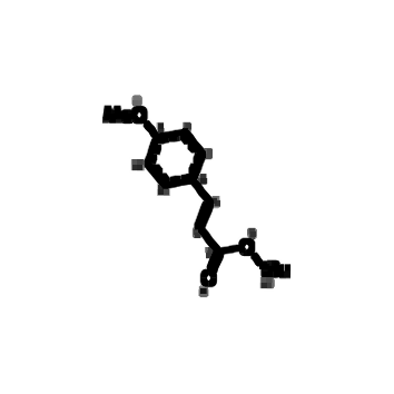 COc1ccc(C=CC(=O)OC(C)(C)C)cc1